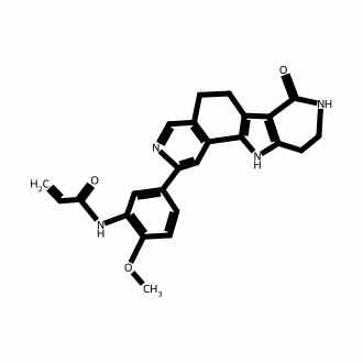 C=CC(=O)Nc1cc(-c2cc3c(cn2)CCc2c-3[nH]c3c2C(=O)NCC3)ccc1OC